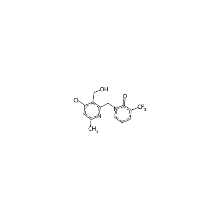 Cc1cc(Cl)c(CO)c(Cn2cccc(C(F)(F)F)c2=O)n1